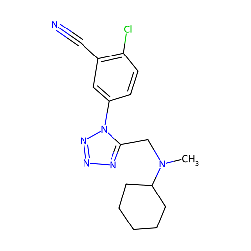 CN(Cc1nnnn1-c1ccc(Cl)c(C#N)c1)C1CCCCC1